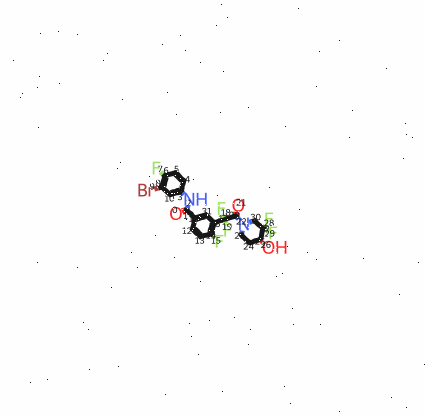 O=C(Nc1ccc(F)c(Br)c1)c1ccc(F)c(C(F)(F)C(=O)N2CCC(O)C(F)(F)C2)c1